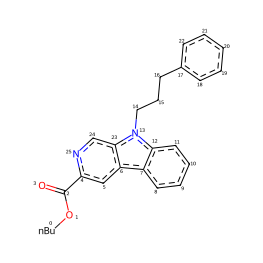 CCCCOC(=O)c1cc2c3ccccc3n(CCCc3ccccc3)c2cn1